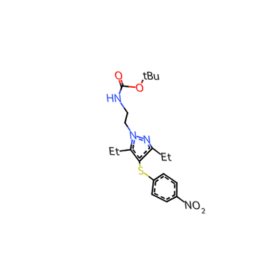 CCc1nn(CCNC(=O)OC(C)(C)C)c(CC)c1Sc1ccc([N+](=O)[O-])cc1